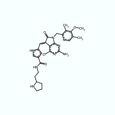 COc1c(C)cnc(CN2C(=O)/C(=C/c3cc(C(=O)NCCC4CCCN4)c[nH]3)c3c(Cl)nc(N)nc32)c1C